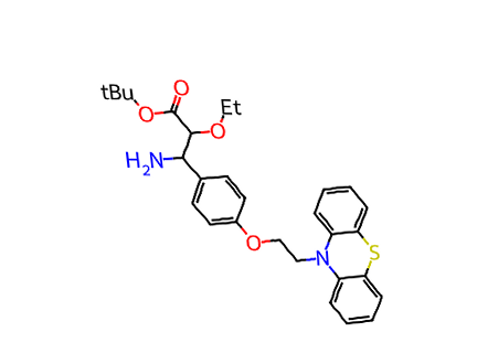 CCOC(C(=O)OC(C)(C)C)C(N)c1ccc(OCCN2c3ccccc3Sc3ccccc32)cc1